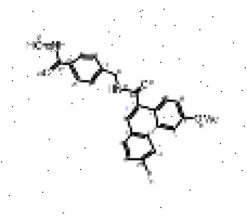 COc1ccc(/C(=C\c2ccc(F)cc2)C(=O)NCc2ccc(C(=O)NO)cc2)cc1